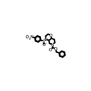 O=C(OCc1ccccc1)N1CCC2OCCN([S+]([O-])c3ccc([N+](=O)[O-])cc3)C2C1